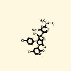 COc1nc(N(C)C)ncc1-n1nc2c(c1C(C)C)[C@H](c1ccc(Cl)cc1)N(c1cc(Cl)c[nH]c1=O)C2=O